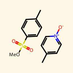 COS(=O)(=O)c1ccc(C)cc1.Cc1cc[n+]([O-])cc1